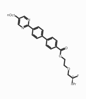 CCCCCCCCc1cnc(-c2ccc(-c3ccc(C(=O)OCCOC[C@@H](F)CCC)cc3)cc2)nc1